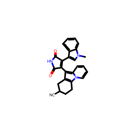 Cn1cc(C2=C(c3c4c(n5ccccc35)CCC(C#N)C4)C(=O)NC2=O)c2ccccc21